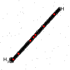 C[S+]([O-])S(=S)(=S)SSSSSSSSSSSSSSSSSSSSSSSSSSSSSSSSSSSSSSSSSSSSSSSSSSSSSSSSSSSSSSSSSSSSSSSSSS